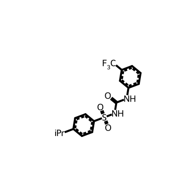 CC(C)c1ccc(S(=O)(=O)NC(=O)Nc2cccc(C(F)(F)F)c2)cc1